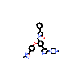 Cc1noc(-c2ccc(Oc3cc(-c4cncc(N5CCN(C)CC5)c4)ccc3CN3CC(c4ccccc4)CC3=O)cc2)n1